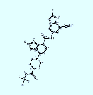 Cc1cn2cc(NC(=O)c3ccc(N4CCN(C(=O)OC(C)(C)C)CC4)c4cn(C)nc34)cc(C#N)c2n1